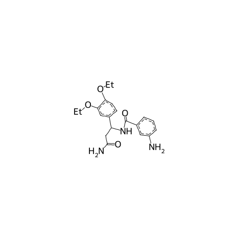 CCOc1ccc(C(CC(N)=O)NC(=O)c2cccc(N)c2)cc1OCC